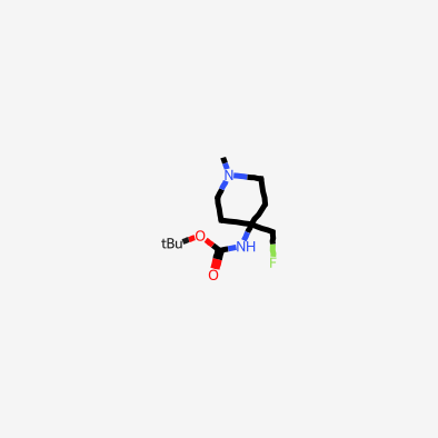 CN1CCC(CF)(NC(=O)OC(C)(C)C)CC1